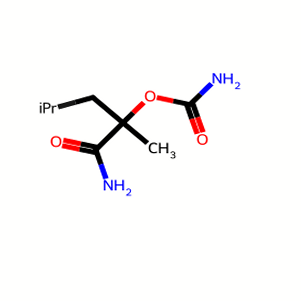 CC(C)CC(C)(OC(N)=O)C(N)=O